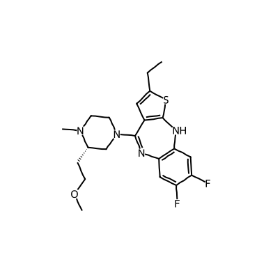 CCc1cc2c(s1)Nc1cc(F)c(F)cc1N=C2N1CCN(C)[C@@H](CCOC)C1